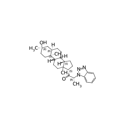 C[C@H](C(=O)[C@H]1CC[C@H]2[C@@H]3CC[C@@H]4C[C@](C)(O)CC[C@]4(C)[C@H]3CCC12C)n1nnc2ccccc21